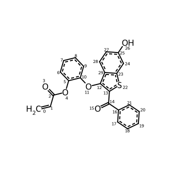 C=CC(=O)Oc1ccccc1Oc1c(C(=O)c2ccccc2)sc2cc(O)ccc12